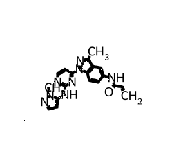 C=CC(=O)Nc1ccc2c(c1)c(C)nn2-c1ccnc(Nc2ccnn2C)n1